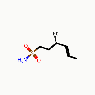 C/C=C/[C@H](CC)CCS(N)(=O)=O